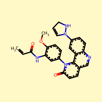 C=CC(=O)Nc1cc(-n2c(=O)ccc3cnc4ccc(N5C=CCN5)cc4c32)ccc1OC